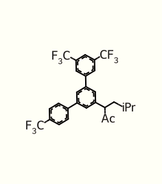 CC(=O)C(CC(C)C)c1cc(-c2ccc(C(F)(F)F)cc2)cc(-c2cc(C(F)(F)F)cc(C(F)(F)F)c2)c1